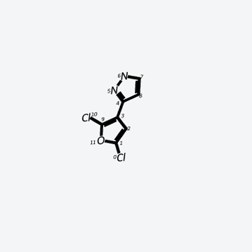 Clc1cc(C2=N[N]C=C2)c(Cl)o1